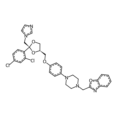 Clc1ccc([C@]2(Cn3ccnc3)OC[C@@H](COc3ccc(N4CCN(Cc5nc6ccccc6o5)CC4)cc3)O2)c(Cl)c1